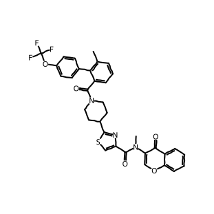 Cc1cccc(C(=O)N2CCC(c3nc(C(=O)N(C)c4coc5ccccc5c4=O)cs3)CC2)c1-c1ccc(OC(F)(F)F)cc1